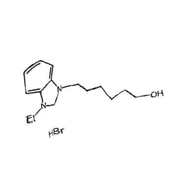 Br.CCN1CN(CCCCCCO)c2ccccc21